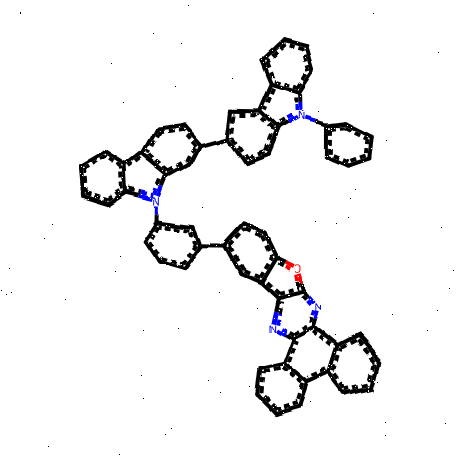 c1ccc(-n2c3ccccc3c3cc(-c4ccc5c6ccccc6n(-c6cccc(-c7ccc8oc9nc%10c%11ccccc%11c%11ccccc%11c%10nc9c8c7)c6)c5c4)ccc32)cc1